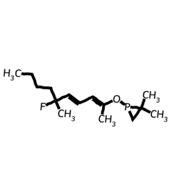 CCCCC(C)(F)/C=C/C=C(\C)OP1CC1(C)C